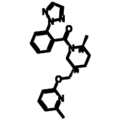 Cc1cccc(OC[C@H]2CC[C@H](C)N(C(=O)c3ccccc3-n3nccn3)C2)n1